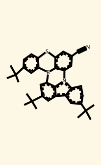 CC(C)(C)c1ccc2c(c1)B1c3c(cc(C#N)cc3-n3c4ccc(C(C)(C)C)cc4c4cc(C(C)(C)C)cc1c43)S2